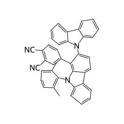 Cc1cccc(C)c1-n1c2ccccc2c2ccc(-n3c4ccccc4c4ccccc43)c(-c3ccc(C#N)c(C#N)c3)c21